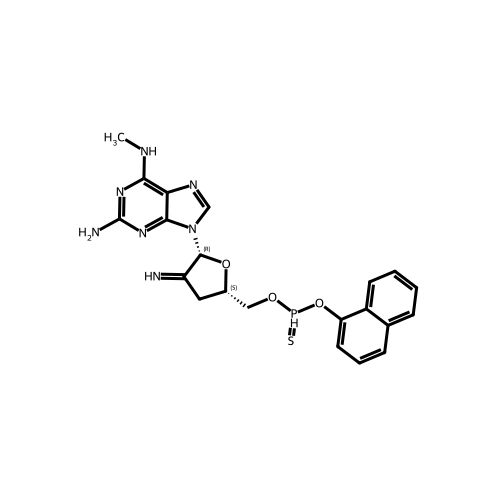 CNc1nc(N)nc2c1ncn2[C@@H]1O[C@H](CO[PH](=S)Oc2cccc3ccccc23)CC1=N